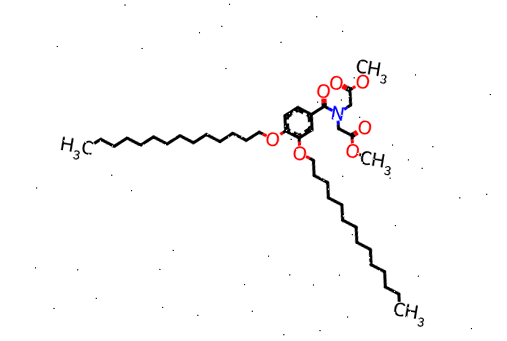 CCCCCCCCCCCCCCOc1ccc(C(=O)N(CC(=O)OC)CC(=O)OC)cc1OCCCCCCCCCCCCCC